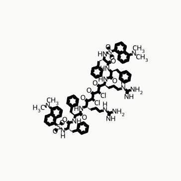 CN(C)c1cccc2c(S(=O)(=O)N[C@@H](Cc3ccccc3)C(=O)N[C@@H](Cc3ccccc3)C(=O)N[C@@H](CCCNC(=N)N)C(=O)C(Cl)C(=O)C(Cl)C(=O)[C@H](CCCNC(=N)N)NC(=O)[C@H](Cc3ccccc3)NC(=O)[C@H](Cc3ccccc3)NS(=O)(=O)c3cccc4c(N(C)C)cccc34)cccc12